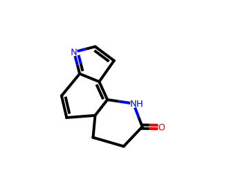 O=C1CCC2C=CC3=NC=CC3=C2N1